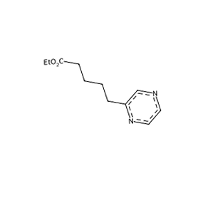 CCOC(=O)CCCCc1cnccn1